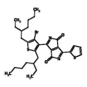 CCCCC(CC)Cc1sc(CC(CC)CCCC)c(-c2nc(=O)c3c(-c4cccs4)nc(=O)c2=3)c1Br